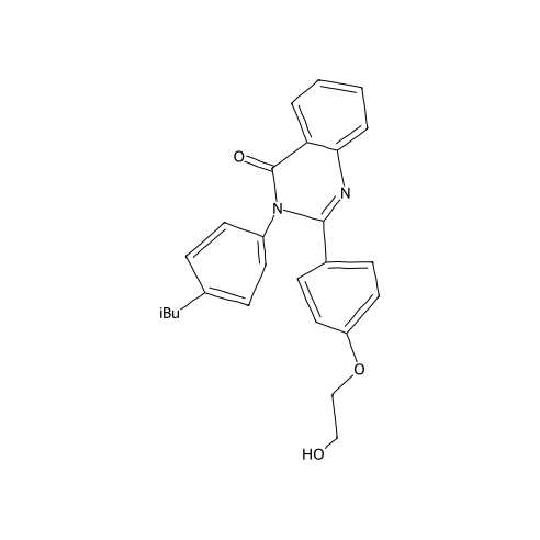 CCC(C)c1ccc(-n2c(-c3ccc(OCCO)cc3)nc3ccccc3c2=O)cc1